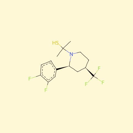 CC(C)(S)N1CC[C@@H](C(F)(F)F)C[C@H]1c1ccc(F)c(F)c1